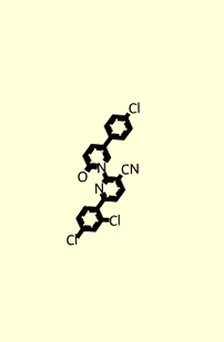 N#Cc1ccc(-c2ccc(Cl)cc2Cl)nc1-n1cc(-c2ccc(Cl)cc2)ccc1=O